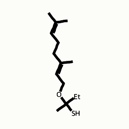 CCC(C)(S)OC/C=C(\C)CCC=C(C)C